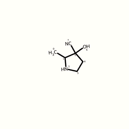 CC1NCCC1(O)C#N